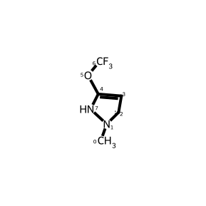 CN1[C]C=C(OC(F)(F)F)N1